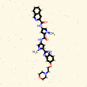 Cn1cc(NC(=O)c2cc3ccccc3cn2)cc1C(=O)Nc1cc(-c2nc3cc(OCCN4CCOCC4)ccc3[nH]2)n(C)c1